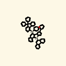 c1ccc(-c2ccc3c(c2)c2c(N(c4ccccc4)c4cccc5c4-c4ccccc4C5(c4ccccc4)c4ccccc4)cc4ccccc4c2n3-c2cc3ccccc3c3ccccc23)cc1